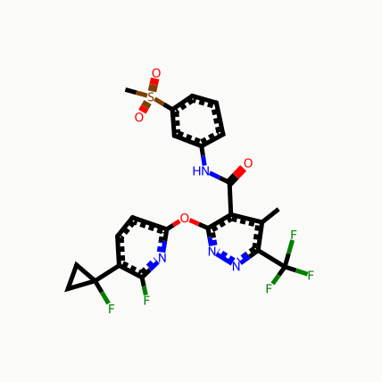 Cc1c(C(F)(F)F)nnc(Oc2ccc(C3(F)CC3)c(F)n2)c1C(=O)Nc1cccc(S(C)(=O)=O)c1